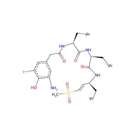 CC(C)C[C@@H](/C=C/S(C)(=O)=O)NC(=O)[C@H](CC(C)C)NC(=O)[C@H](CC(C)C)NC(=O)Cc1cc(N)c(O)c(I)c1